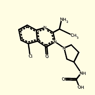 CC(N)c1nc2cccc(Cl)c2c(=O)n1N1CCC(NC(=O)O)C1